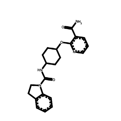 NC(=O)c1cccnc1OC1CCC(NC(=O)N2CCc3ccccc32)CC1